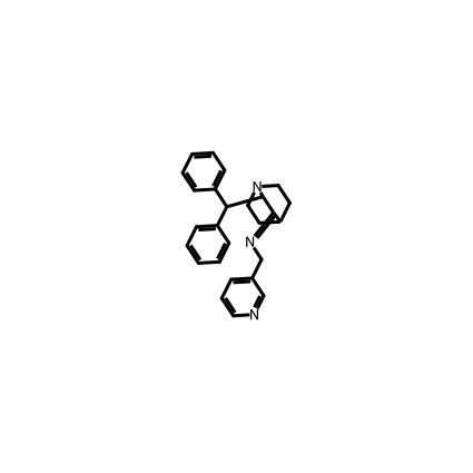 c1ccc(C(c2ccccc2)C2/C(=N/Cc3cccnc3)C3CCN2CC3)cc1